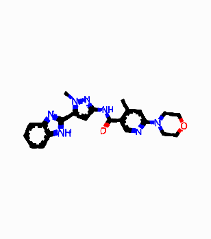 Cc1cc(N2CCOCC2)ncc1C(=O)Nc1cc(-c2nc3ccccc3[nH]2)n(C)n1